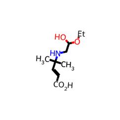 CCOC(O)CNC(C)(C)C=CC(=O)O